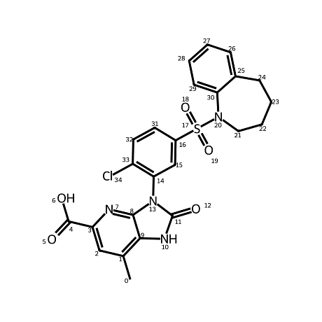 Cc1cc(C(=O)O)nc2c1[nH]c(=O)n2-c1cc(S(=O)(=O)N2CCCCc3ccccc32)ccc1Cl